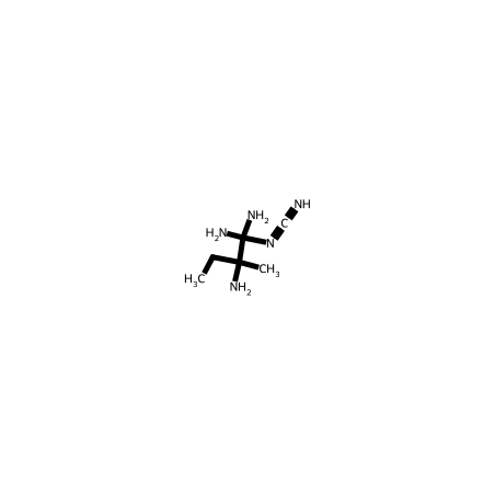 CCC(C)(N)C(N)(N)N=C=N